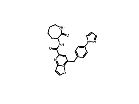 O=C(NC1CCCCNC1=O)c1cc(Cc2ccc(-n3cccn3)cc2)c2sccc2n1